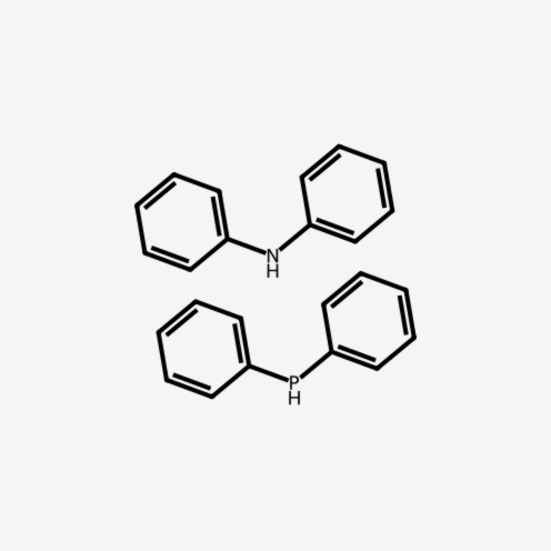 c1ccc(Nc2ccccc2)cc1.c1ccc(Pc2ccccc2)cc1